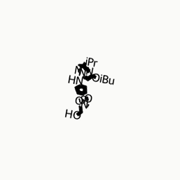 CC(C)COc1cc(Nc2ccc(S(=O)(=O)N(C)CCO)cc2)n2ncc(C(C)C)c2n1